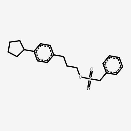 O=S(=O)(Cc1ccccc1)OCCCc1ccc(C2CCCC2)cc1